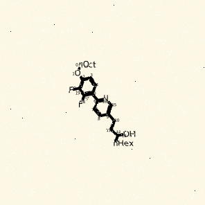 CCCCCCCCOc1ccc(-c2ccc(CCC(O)CCCCCC)cn2)c(F)c1F